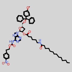 CCCCCCCCCCCCCC(=O)NCCCCCC(=O)O[C@@H]1C[C@@H](COC(c2ccccc2)(c2ccccc2)c2ccc(OC)cc2)O[C@H]1n1cnc2c(NC(=O)OCCc3ccc([N+](=O)[O-])cc3)ncnc21